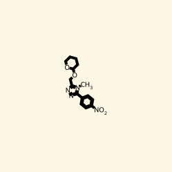 Cn1c(COC2CCCCO2)nnc1-c1ccc([N+](=O)[O-])cc1